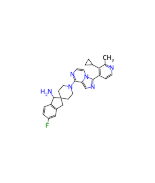 Cc1nccc(-c2ncc3c(N4CCC5(CC4)Cc4cc(F)ccc4C5N)nccn23)c1C1CC1